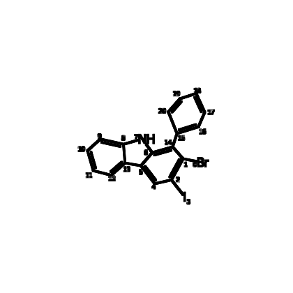 Brc1c(I)cc2c([nH]c3ccccc32)c1-c1ccccc1